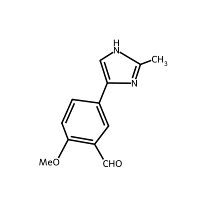 COc1ccc(-c2c[nH]c(C)n2)cc1C=O